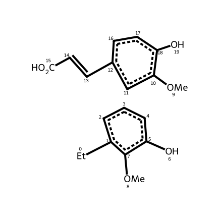 CCc1cccc(O)c1OC.COc1cc(/C=C/C(=O)O)ccc1O